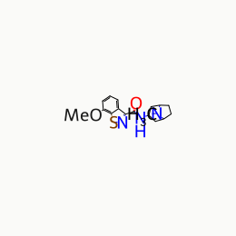 COc1cccc2c(C(=O)NC3CC4CCC(C3)N4C)nsc12